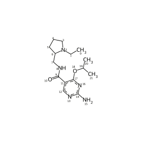 CCN1CCCC1CNC(=O)c1cnc(N)nc1OC(C)C